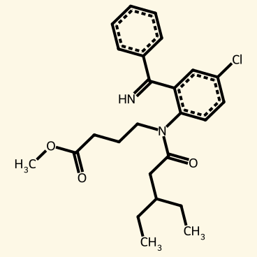 CCC(CC)CC(=O)N(CCCC(=O)OC)c1ccc(Cl)cc1C(=N)c1ccccc1